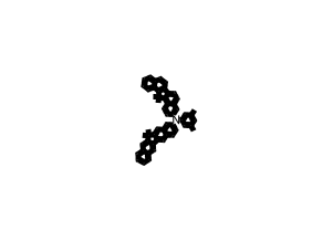 Cc1cc(C)cc(N(c2ccc3cc4c(cc3c2)C(C)(C)c2cc3ccccc3cc2-4)c2ccc3c4c(ccc3c2)-c2ccc3ccccc3c2C4(C)C)c1